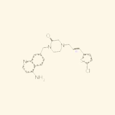 Nc1ccnc2cc(CN3CCN(C/C=C/c4ccc(Cl)s4)CC3=O)ccc12